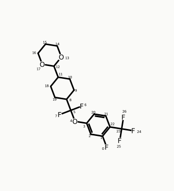 Fc1cc(OC(F)(F)C2CCC(C3OCCCO3)CC2)ccc1C(F)(F)F